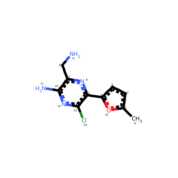 Cc1ccc(-c2nc(CN)c(N)nc2Cl)o1